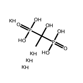 CC(O)(P(=O)(O)O)P(=O)(O)O.[KH].[KH].[KH].[KH]